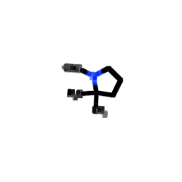 CC1(C)CCCN1[C]=O